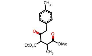 CCOC(=O)C(C(=O)Cc1ccc(C)cc1)C(C)C(=O)OC